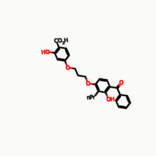 CCCc1c(OCCCOc2ccc(C(=O)O)c(O)c2)ccc(C(=O)c2ccccc2)c1O